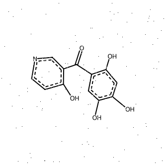 O=C(c1cnccc1O)c1cc(O)c(O)cc1O